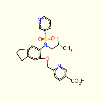 C[C@@H](F)CN(c1cc2c(cc1OCc1ccc(C(=O)O)cn1)CCC2)S(=O)(=O)c1cccnc1